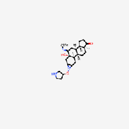 CO/N=C1\C[C@H]2[C@@H]3CCC(=O)[C@@]3(C)CC[C@@H]2[C@@]2(C)CC3C(C[C@]12O)N3O[C@@H]1CCNC1